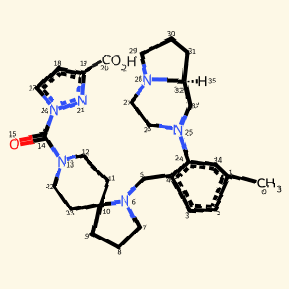 Cc1ccc(CN2CCCC23CCN(C(=O)n2ccc(C(=O)O)n2)CC3)c(N2CCN3CCC[C@H]3C2)c1